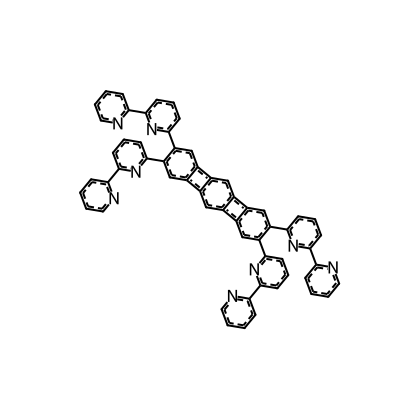 c1ccc(-c2cccc(-c3cc4c(cc3-c3cccc(-c5ccccn5)n3)c3cc5c6cc(-c7cccc(-c8ccccn8)n7)c(-c7cccc(-c8ccccn8)n7)cc6c5cc43)n2)nc1